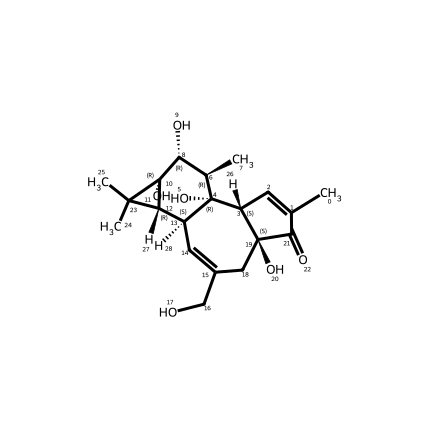 CC1=C[C@H]2[C@]3(O)[C@H](C)[C@@H](O)[C@@]4(O)[C@H]([C@@H]3C=C(CO)C[C@@]2(O)C1=O)C4(C)C